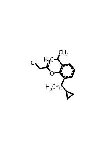 CC(C)c1cccc([C@@H](C)C2CC2)c1OC(=O)CCl